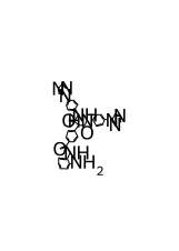 Nc1ccccc1NC(=O)c1ccc(C(C(=O)Nc2ccc(-n3cncn3)cc2)C(=O)Nc2ccc(-n3cncn3)cc2)cc1